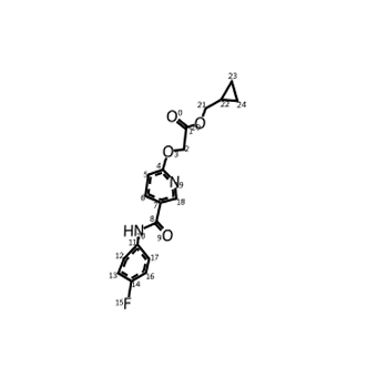 O=C(COc1ccc(C(=O)Nc2ccc(F)cc2)cn1)OCC1CC1